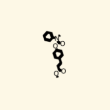 COC(=O)C=Cc1ccc(OC(=O)N(C)c2ccccc2)cc1